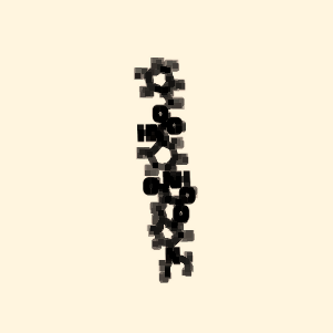 CCN(CC)c1ccc2cc(C(=O)N[C@H]3CC[C@H](NC(=O)OCc4ccccc4)CC3)c(=O)oc2c1